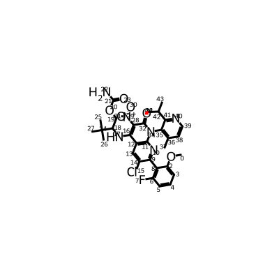 COc1cccc(F)c1-c1nc2c(cc1Cl)c(NC(COC(N)=O)C(C)(C)C)c([N+](=O)[O-])c(=O)n2-c1c(C)ccnc1C(C)C